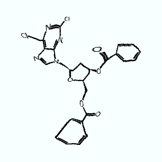 O=C(OC[C@H]1O[C@@H](n2cnc3c(Cl)nc(Cl)nc32)C[C@H]1OC(=O)c1ccccc1)c1ccccc1